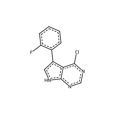 Fc1ccccc1-c1c[nH]c2ncnc(Cl)c12